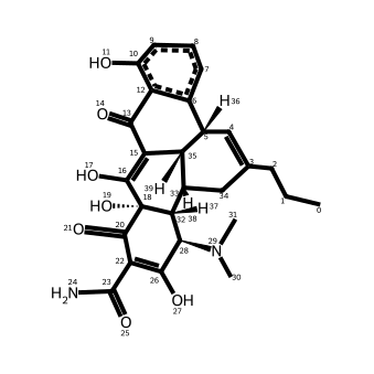 CCCC1=C[C@H]2c3cccc(O)c3C(=O)C3=C(O)[C@]4(O)C(=O)C(C(N)=O)=C(O)[C@H](N(C)C)[C@H]4[C@@H](C1)[C@H]32